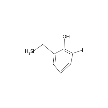 Oc1c(I)cccc1C[SiH3]